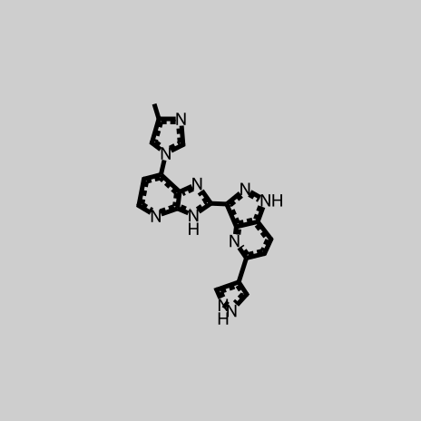 Cc1cn(-c2ccnc3[nH]c(-c4n[nH]c5ccc(-c6cn[nH]c6)nc45)nc23)cn1